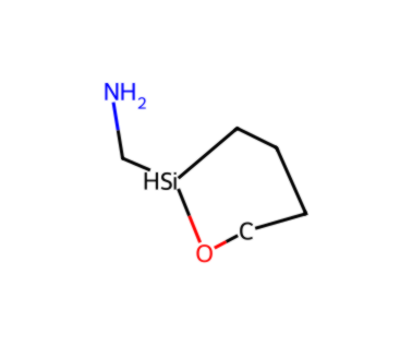 NC[SiH]1CCCCO1